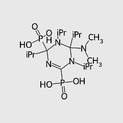 CC(C)N1C(P(=O)(O)O)=NC(C(C)C)(P(=O)(O)O)N(C(C)C)C1(C(C)C)N(C)C